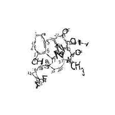 Cc1ccccc1C1C(CC2CC2(F)F)CCC2N(C)C(=O)c3c(O)c(=O)ccn3N12